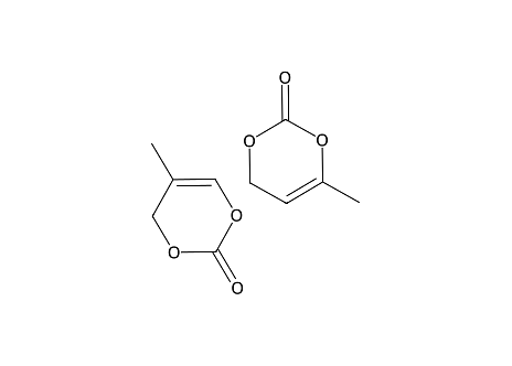 CC1=CCOC(=O)O1.CC1=COC(=O)OC1